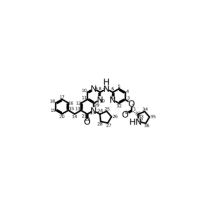 O=C(Oc1ccc(Nc2ncc3cc(Cc4ccccc4)c(=O)n(C4CCCC4)c3n2)nc1)[C@@H]1CCCN1